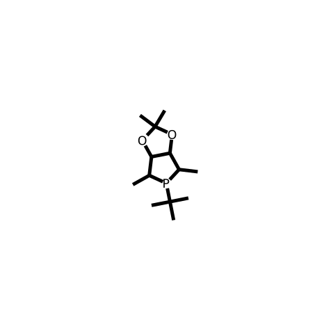 CC1C2OC(C)(C)OC2C(C)P1C(C)(C)C